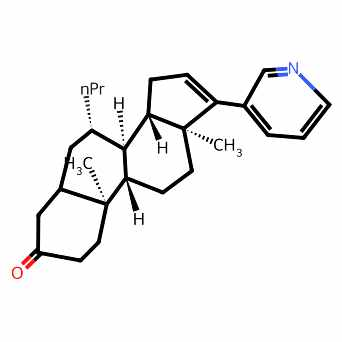 CCC[C@H]1CC2CC(=O)CC[C@]2(C)[C@H]2CC[C@]3(C)C(c4cccnc4)=CC[C@H]3[C@H]12